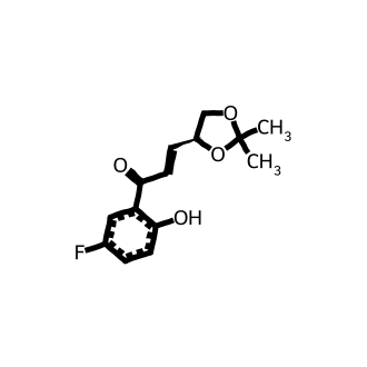 CC1(C)OC[C@H](/C=C/C(=O)c2cc(F)ccc2O)O1